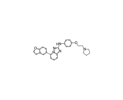 c1cc(-c2ccc3occc3c2)n2nc(Nc3ccc(OCCN4CCCC4)cc3)nc2c1